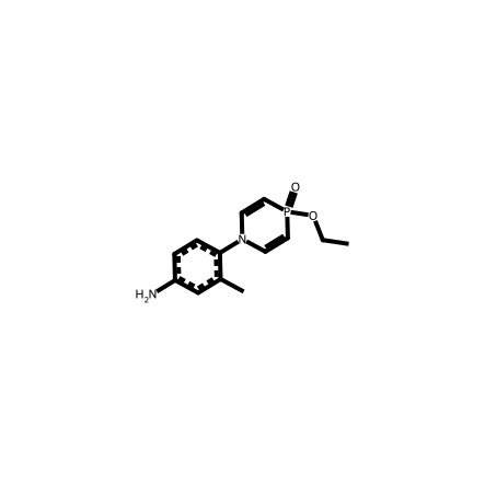 CCOP1(=O)C=CN(c2ccc(N)cc2C)C=C1